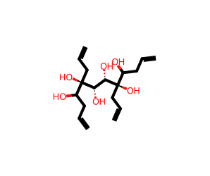 C=CCC(O)[C@](O)(CC=C)[C@@H](O)[C@H](O)[C@@](O)(CC=C)C(O)CC=C